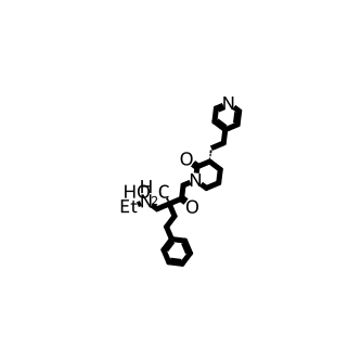 CCNC[C@@](CCc1ccccc1)(C(=O)O)C(=O)CN1CCC[C@@H](CCc2ccncc2)C1=O